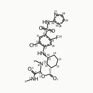 CNC(=O)C(OC=O)N(C)[C@H]1CCCC[C@@H]1Nc1cc(F)c(S(=O)(=O)Nc2nccs2)cc1Cl